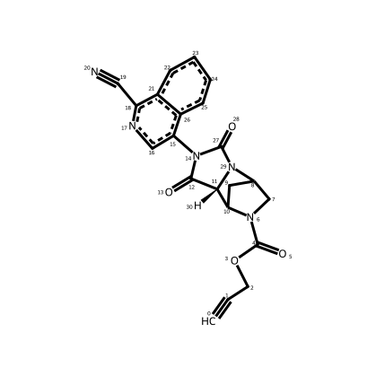 C#CCOC(=O)N1CC2CC1[C@@H]1C(=O)N(c3cnc(C#N)c4ccccc34)C(=O)N21